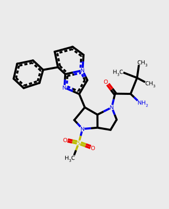 CC(C)(C)C(N)C(=O)N1CCC2C1C(c1cn3cccc(-c4ccccc4)c3n1)CN2S(C)(=O)=O